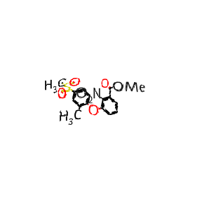 COC(=O)c1cccc(Oc2ccc(S(C)(=O)=O)cc2C)c1[N+](=O)[O-]